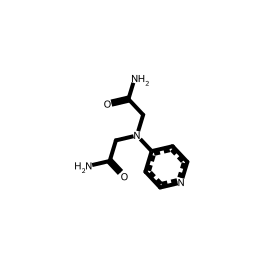 NC(=O)CN(CC(N)=O)c1ccncc1